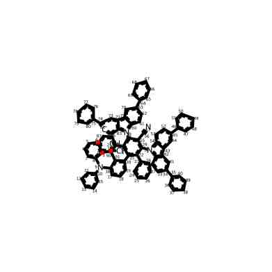 CC1(C)c2ccccc2N(c2ccccc2)c2cccc(-c3c(-c4ccccc4)c(-n4c5ccc(-c6ccccc6)cc5c5cc(-c6ccccc6)ccc54)c(C#N)c(-n4c5ccc(-c6ccccc6)cc5c5cc(-c6ccccc6)ccc54)c3-c3ccccc3)c21